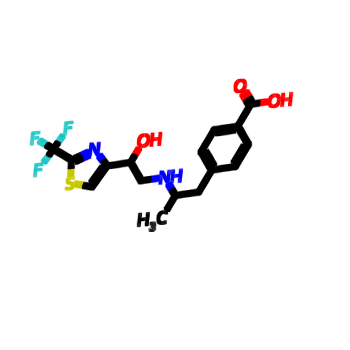 CC(Cc1ccc(C(=O)O)cc1)NCC(O)c1csc(C(F)(F)F)n1